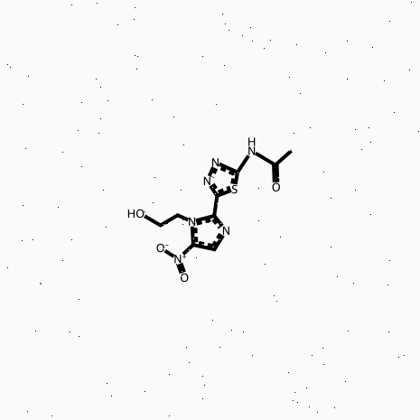 CC(=O)Nc1nnc(-c2ncc([N+](=O)[O-])n2CCO)s1